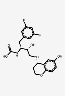 O=C(O)N[C@@H](Cc1cc(F)cc(F)c1)[C@H](O)CN[C@H]1CCOc2ccc(O)cc21